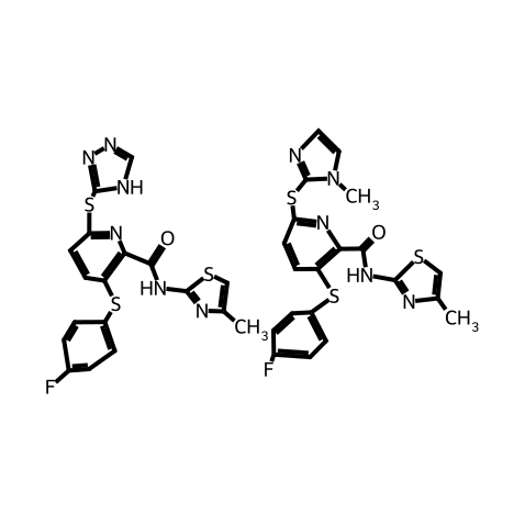 Cc1csc(NC(=O)c2nc(Sc3nccn3C)ccc2Sc2ccc(F)cc2)n1.Cc1csc(NC(=O)c2nc(Sc3nnc[nH]3)ccc2Sc2ccc(F)cc2)n1